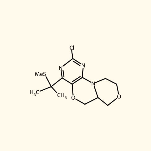 CSC(C)(C)c1nc(Cl)nc2c1OCC1COCCN21